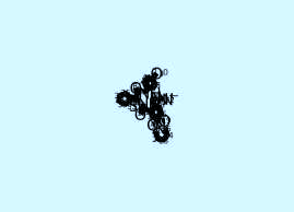 COc1ccc(NC(=O)c2c(NC(=O)c3cc(S(=O)(=O)N4CCCCC4)ccc3CN=[N+]=[N-])sc3c2CCCC3)cc1